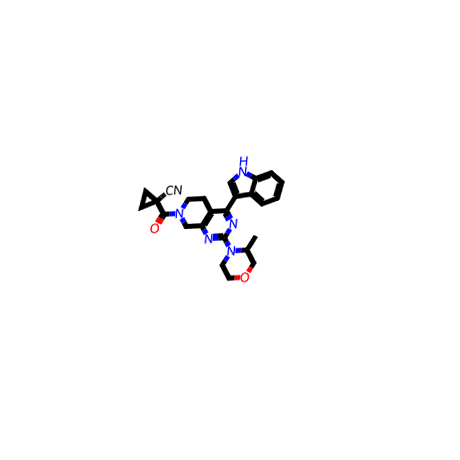 CC1COCCN1c1nc2c(c(-c3c[nH]c4ccccc34)n1)CCN(C(=O)C1(C#N)CC1)C2